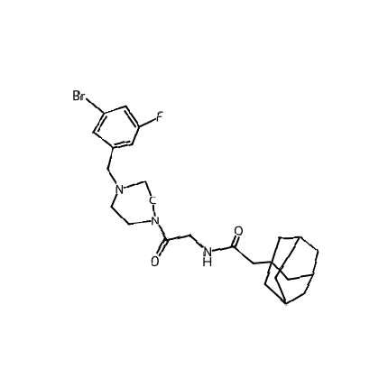 O=C(CC12CC3CC(CC(C3)C1)C2)NCC(=O)N1CCN(Cc2cc(F)cc(Br)c2)CC1